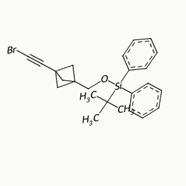 CC(C)(C)[Si](OCC12CC(C#CBr)(C1)C2)(c1ccccc1)c1ccccc1